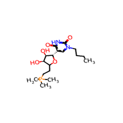 C=P(C)(C)CCC1O[C@@H](c2cn(CCCC)c(=O)[nH]c2=O)[C@H](O)[C@@H]1O